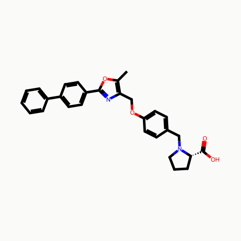 Cc1oc(-c2ccc(-c3ccccc3)cc2)nc1COc1ccc(CN2CCC[C@H]2C(=O)O)cc1